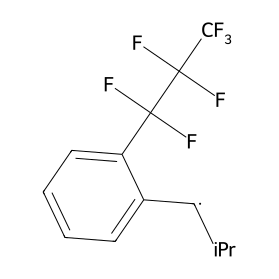 CC(C)[CH]c1ccccc1C(F)(F)C(F)(F)C(F)(F)F